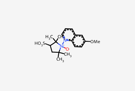 COc1ccc2c(ccc[n+]2[N+]2([O])C(C)(C)CC(S(=O)(=O)O)C2(C)C)c1